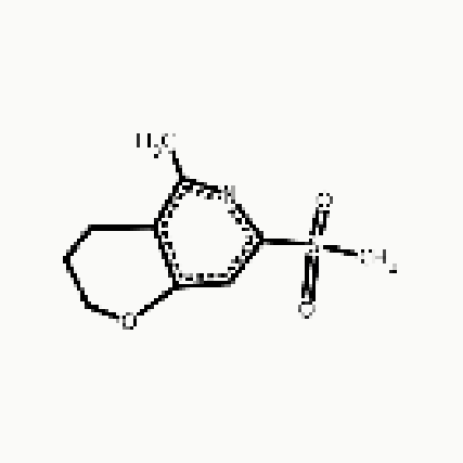 Cc1nc(S(C)(=O)=O)cc2c1CCCO2